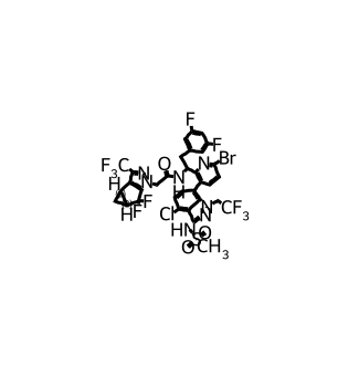 CS(=O)(=O)Nc1nn(CC(F)(F)F)c2c(-c3ccc(Br)nc3C(Cc3cc(F)cc(F)c3)NC(=O)Cn3nc(C(F)(F)F)c4c3C(F)(F)[C@@H]3C[C@H]43)ccc(Cl)c12